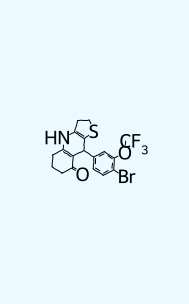 O=C1CCCC2=C1C(c1ccc(Br)c(OC(F)(F)F)c1)C1=C(CCS1)N2